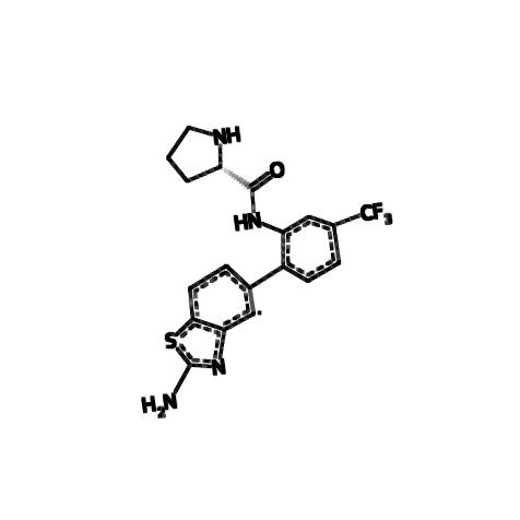 Nc1nc2[c]c(-c3ccc(C(F)(F)F)cc3NC(=O)[C@@H]3CCCN3)ccc2s1